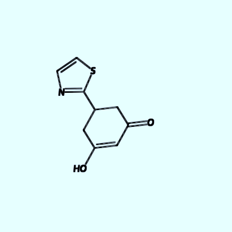 O=C1C=C(O)CC(c2nccs2)C1